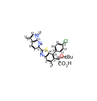 Cc1cc2nc(-c3ccc4c(C)cn(C)c4n3)sc2c(-c2ccc(Cl)cc2)c1[C@H](OC(C)(C)C)C(=O)O